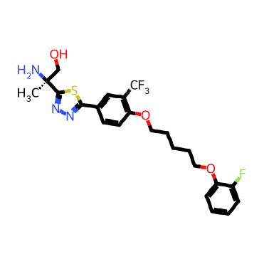 C[C@](N)(CO)c1nnc(-c2ccc(OCCCCCOc3ccccc3F)c(C(F)(F)F)c2)s1